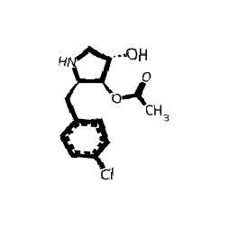 CC(=O)O[C@@H]1[C@@H](O)CN[C@@H]1Cc1ccc(Cl)cc1